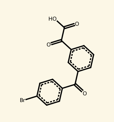 O=C(O)C(=O)c1cccc(C(=O)c2ccc(Br)cc2)c1